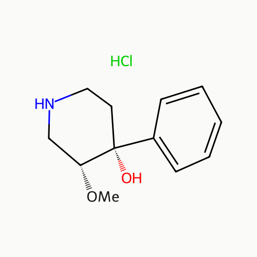 CO[C@@H]1CNCC[C@@]1(O)c1ccccc1.Cl